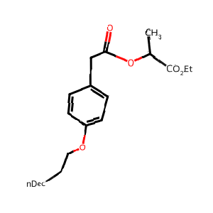 CCCCCCCCCCCCOc1ccc(CC(=O)OC(C)C(=O)OCC)cc1